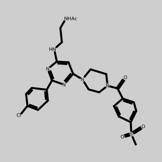 CC(=O)NCCNc1cc(N2CCN(C(=O)c3ccc(S(C)(=O)=O)cc3)CC2)nc(-c2ccc(Cl)cc2)n1